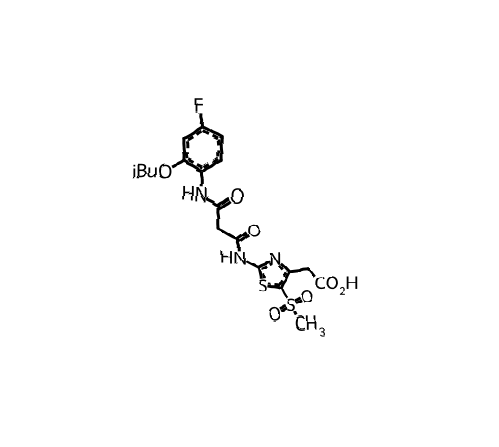 CC(C)COc1cc(F)ccc1NC(=O)CC(=O)Nc1nc(CC(=O)O)c(S(C)(=O)=O)s1